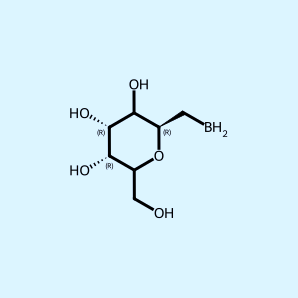 BC[C@H]1OC(CO)[C@H](O)[C@H](O)C1O